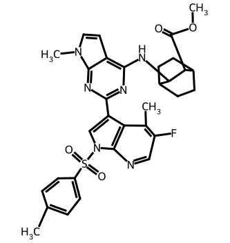 COC(=O)C1C2CCC(CC2)C1Nc1nc(-c2cn(S(=O)(=O)c3ccc(C)cc3)c3ncc(F)c(C)c23)nc2c1ccn2C